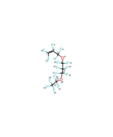 FC(F)=C(F)C(F)(F)OC(F)(F)C(F)(F)C(F)(F)OC(F)(F)C(F)(F)F